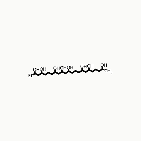 CCC(O)CC(O)CCCC(O)CC(O)CC(O)CCCC(O)CC(O)CCC[C@H](C)O